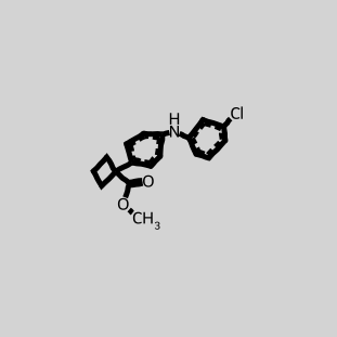 COC(=O)C1(c2ccc(Nc3cccc(Cl)c3)cc2)CCC1